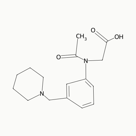 CC(=O)N(CC(=O)O)c1cccc(CN2CCCCC2)c1